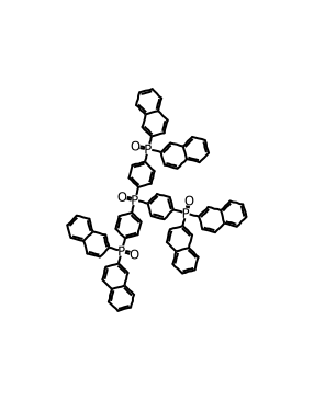 O=P(c1ccc(P(=O)(c2ccc3ccccc3c2)c2ccc3ccccc3c2)cc1)(c1ccc(P(=O)(c2ccc3ccccc3c2)c2ccc3ccccc3c2)cc1)c1ccc(P(=O)(c2ccc3ccccc3c2)c2ccc3ccccc3c2)cc1